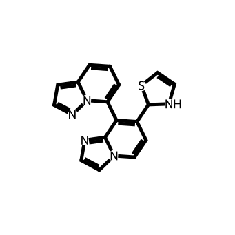 C1=CSC(c2ccn3ccnc3c2-c2cccc3ccnn23)N1